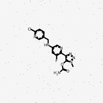 Cn1nnc(-c2ncc(NCc3ccc(Cl)nc3)cc2F)c1OC(N)=O